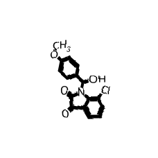 COc1ccc(C(O)N2C(=O)C(=O)c3cccc(Cl)c32)cc1